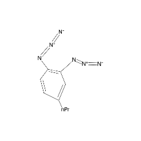 CCCc1ccc(N=[N+]=[N-])c(N=[N+]=[N-])c1